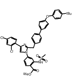 COC(=O)c1ccc(-n2cc(-c3ccc(Cl)cc3Cl)nc2Cc2ccc(-c3ccc(Oc4ccc(C(C)(C)C)cc4)cc3)cc2)cc1NS(C)(=O)=O